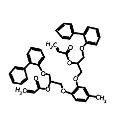 C=CC(=O)OC(COc1ccc(C)cc1OCC(COc1ccccc1-c1ccccc1)OC(=O)C=C)COc1ccccc1-c1ccccc1